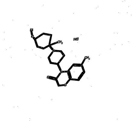 CCOC1CCC(C)(N2CCC(N3C(=O)COc4ccc(C)cc43)CC2)CC1.Cl